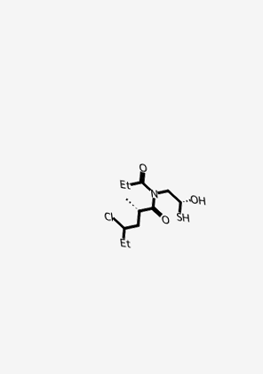 CCC(=O)N(C[C@H](O)S)C(=O)[C@@H](C)CC(Cl)CC